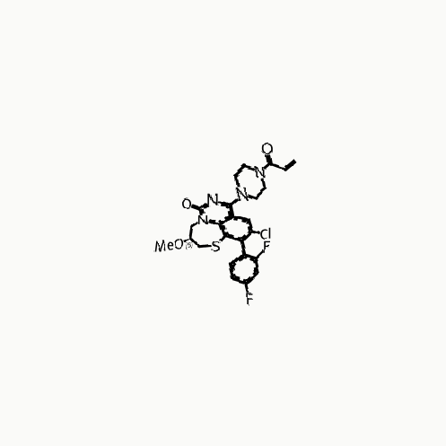 C=CC(=O)N1CCN(c2nc(=O)n3c4c(c(-c5ccc(F)cc5F)c(Cl)cc24)SC[C@@H](OC)C3)CC1